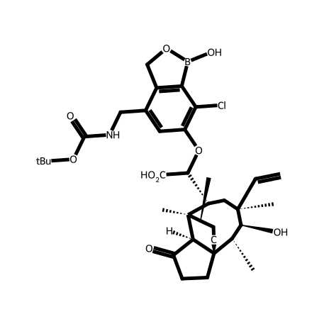 C=C[C@]1(C)C[C@@H](C(Oc2cc(CNC(=O)OC(C)(C)C)c3c(c2Cl)B(O)OC3)C(=O)O)[C@@]2(C)[C@H](C)CC[C@]3(CCC(=O)[C@H]32)[C@@H](C)[C@@H]1O